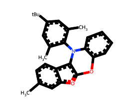 Cc1ccc2c3c(oc2c1)Oc1ccccc1N3c1c(C)cc(C(C)(C)C)cc1C